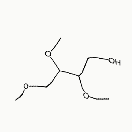 COCC(OC)C(CO)OC